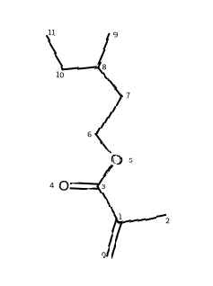 C=C(C)C(=O)OCCC(C)CC